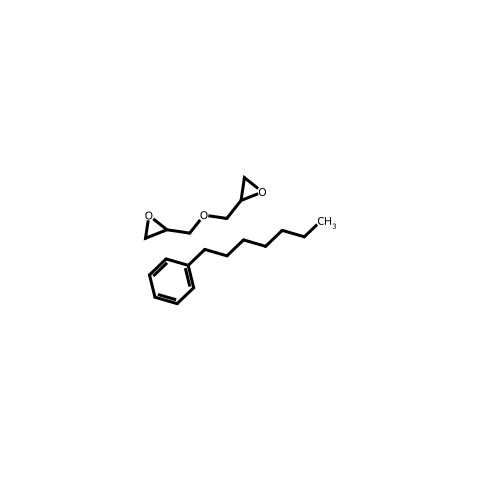 C(OCC1CO1)C1CO1.CCCCCCCc1ccccc1